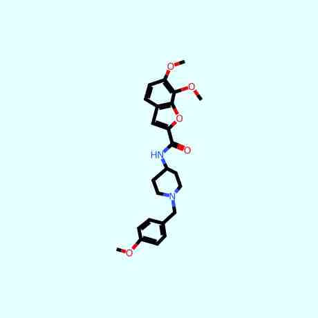 COc1ccc(CN2CCC(NC(=O)c3cc4ccc(OC)c(OC)c4o3)CC2)cc1